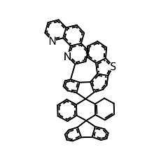 C1=CC2=C(CC1)C1(c3ccccc3C23c2ccccc2-c2ccccc23)c2cccc(-c3ccc4ccc5cccnc5c4n3)c2-c2c1ccc1sc3ccccc3c21